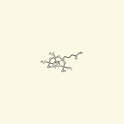 CCCNCCC[Si@@](C)(O[Si](C)(C)O)O[Si](C)(C)O[Si](C)(C)O